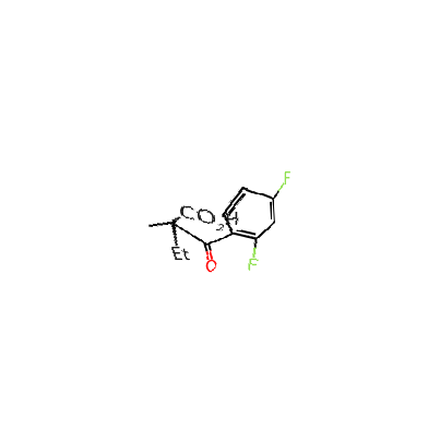 CCC(C)(C(=O)O)C(=O)c1ccc(F)cc1F